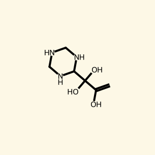 C=C(O)C(O)(O)C1NCNCN1